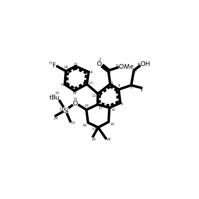 COC(=O)c1c(C(C)CO)cc2c(c1-c1ccc(F)cc1)C(O[Si](C)(C)C(C)(C)C)CC(C)(C)C2